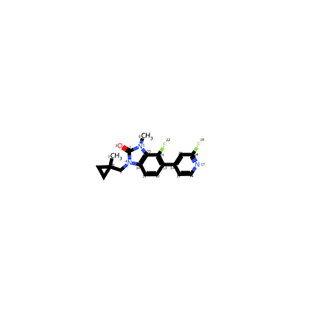 Cn1c(=O)n(CC2(C)CC2)c2ccc(-c3ccnc(F)c3)c(F)c21